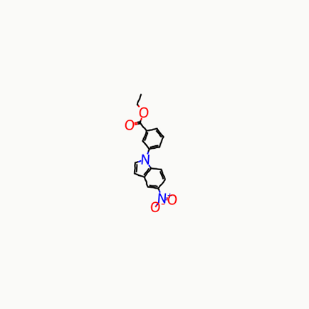 CCOC(=O)c1cccc(-n2ccc3cc([N+](=O)[O-])ccc32)c1